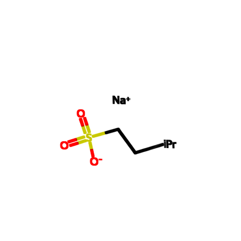 CC(C)CCS(=O)(=O)[O-].[Na+]